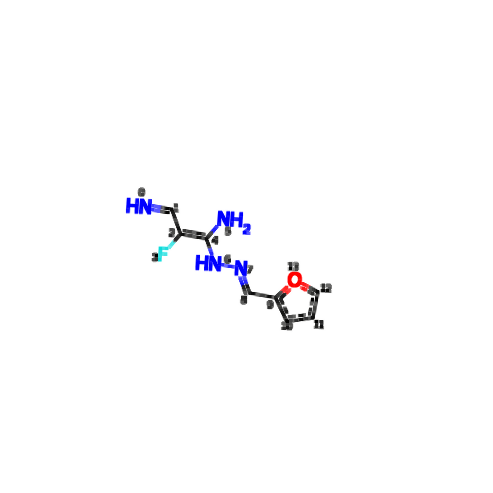 N=C/C(F)=C(\N)N/N=C/c1ccco1